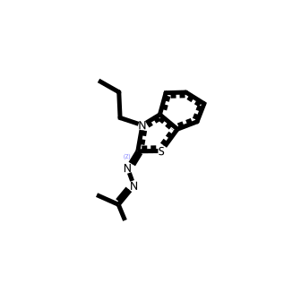 CCCn1/c(=N/N=C(C)C)sc2ccccc21